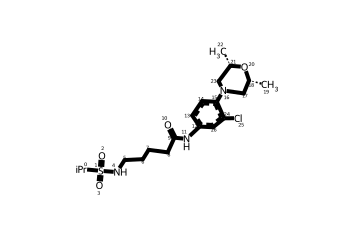 CC(C)S(=O)(=O)NCCCCC(=O)Nc1ccc(N2C[C@@H](C)O[C@@H](C)C2)c(Cl)c1